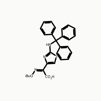 CC(C)CON=C(C(=O)O)c1csc(NC(c2ccccc2)(c2ccccc2)c2ccccc2)n1